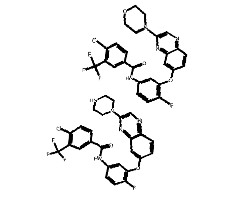 O=C(Nc1ccc(F)c(Oc2ccc3ncc(N4CCNCC4)nc3c2)c1)c1ccc(Cl)c(C(F)(F)F)c1.O=C(Nc1ccc(F)c(Oc2ccc3ncc(N4CCOCC4)nc3c2)c1)c1ccc(Cl)c(C(F)(F)F)c1